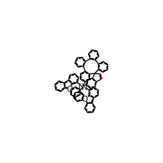 c1ccc(N(c2ccc3c(c2)C2(c4ccccc4-c4ccccc4-c4ccccc4-3)c3ccccc3-c3ccc(N(c4ccccc4)c4cccc5c4oc4ccccc45)cc32)c2cccc3c2oc2ccccc23)cc1